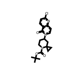 CC(C)(C)OC(=O)N1CCC(n2ccc3nc(Cl)ccc3c2=O)CC12CC2